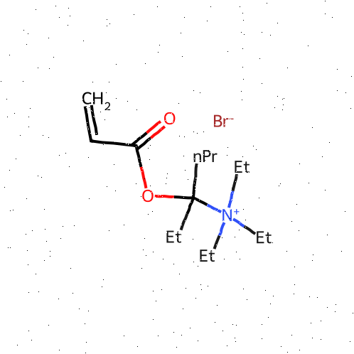 C=CC(=O)OC(CC)(CCC)[N+](CC)(CC)CC.[Br-]